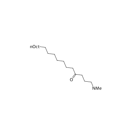 CCCCCCCCCCCCCCCC(=O)CCCNC